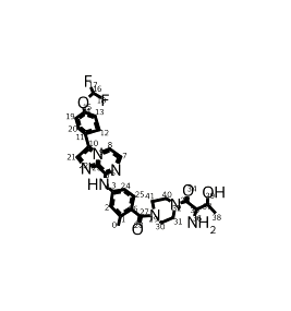 Cc1cc(Nc2nccn3c(-c4ccc(OC(F)F)cc4)cnc23)ccc1C(=O)N1CCN(C(=O)C(N)C(C)O)CC1